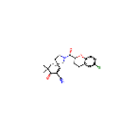 CC1(C)C[C@]2(C=C(C#N)C1=O)CCN(C(=O)C1CCc3cc(Br)ccc3O1)C2